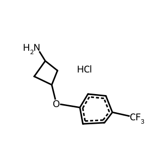 Cl.NC1CC(Oc2ccc(C(F)(F)F)cc2)C1